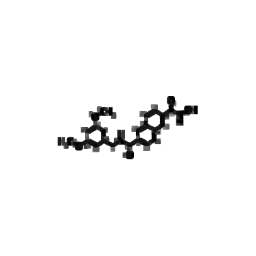 COc1cc(CNC(=O)c2ccc3cc(C(=O)NO)ccc3c2)cc(OC)c1